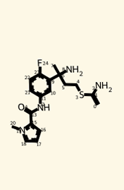 C=C(N)SCCC(C)(N)c1cc(NC(=O)c2cccn2C)ccc1F